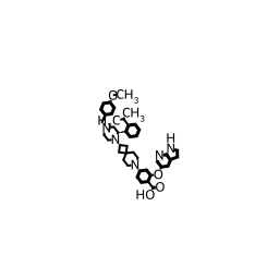 COc1ccc(CN2CCN(C3CC4(CCN(c5ccc(C(=O)O)c(Oc6cnc7[nH]ccc7c6)c5)CC4)C3)[C@H](c3ccccc3C(C)C)C2)cc1